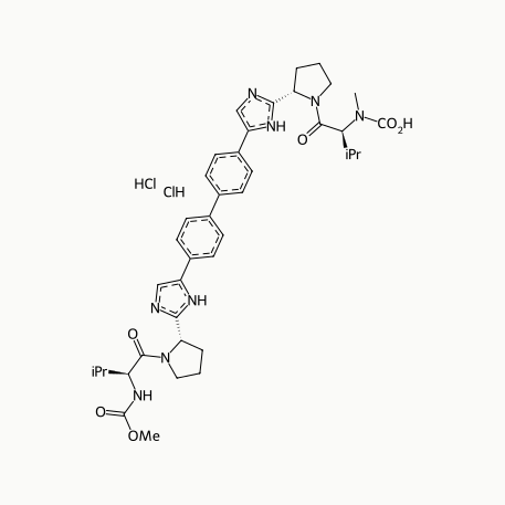 COC(=O)N[C@H](C(=O)N1CCC[C@H]1c1ncc(-c2ccc(-c3ccc(-c4cnc([C@@H]5CCCN5C(=O)[C@H](C(C)C)N(C)C(=O)O)[nH]4)cc3)cc2)[nH]1)C(C)C.Cl.Cl